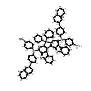 CC(C)(C)c1ccc(N(c2ccc(-c3ccc4ccccc4c3)cc2)c2nc3c(c4c2oc2ccccc24)-c2c(cc(N(c4ccc(-c5ccc6ccccc6c5)cc4)c4ccc(C(C)(C)C)cc4)c4c2oc2ccccc24)C3(c2ccccc2)c2ccccc2)cc1